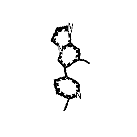 Cc1ccc(-c2cn3ccnc3cc2C)cn1